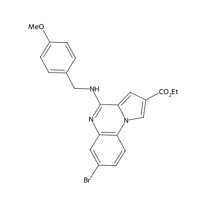 CCOC(=O)c1cc2c(NCc3ccc(OC)cc3)nc3cc(Br)ccc3n2c1